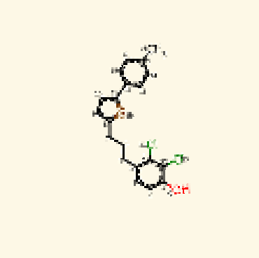 Oc1ccc(CCCc2ccc(-c3ccc(C(F)(F)F)cc3)s2)c(Cl)c1Cl